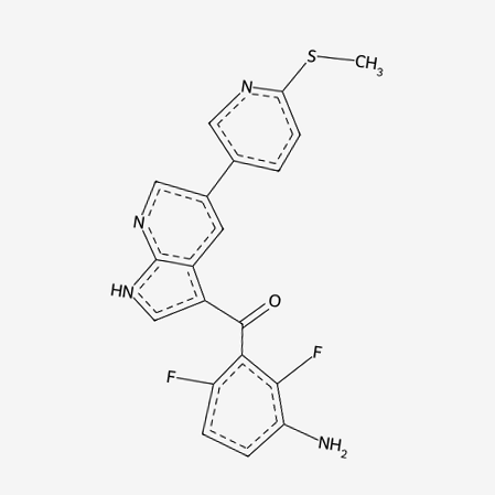 CSc1ccc(-c2cnc3[nH]cc(C(=O)c4c(F)ccc(N)c4F)c3c2)cn1